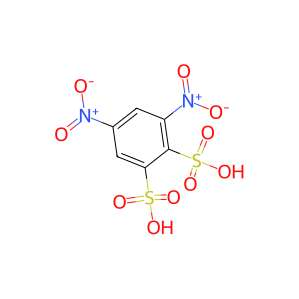 O=[N+]([O-])c1cc([N+](=O)[O-])c(S(=O)(=O)O)c(S(=O)(=O)O)c1